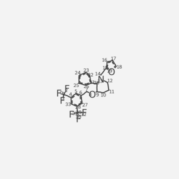 FC(F)(F)c1cc(COC2CCCN(Cc3ccco3)C2c2ccccc2)cc(C(F)(F)F)c1